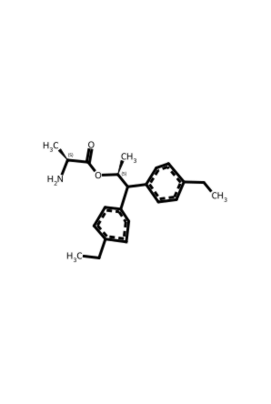 CCc1ccc(C(c2ccc(CC)cc2)[C@H](C)OC(=O)[C@H](C)N)cc1